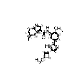 Cc1ccc(C2=NOC([C@H]3C[C@H](C)C3)N2)cc1NC(=O)c1cnc2ccc(F)cn12